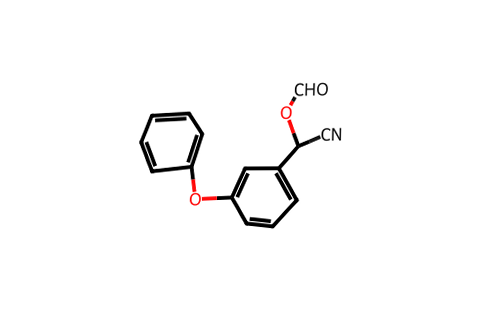 N#CC(OC=O)c1cccc(Oc2ccccc2)c1